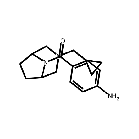 Nc1ccc(C(=O)N2C3CCC2CN(CC2CC2)C3)cc1